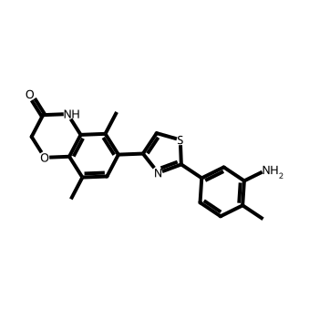 Cc1ccc(-c2nc(-c3cc(C)c4c(c3C)NC(=O)CO4)cs2)cc1N